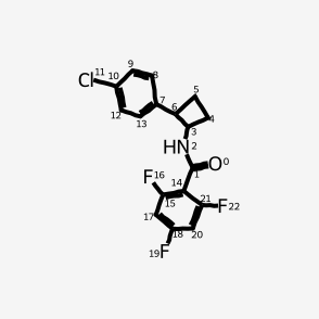 O=C(NC1CCC1c1ccc(Cl)cc1)c1c(F)cc(F)cc1F